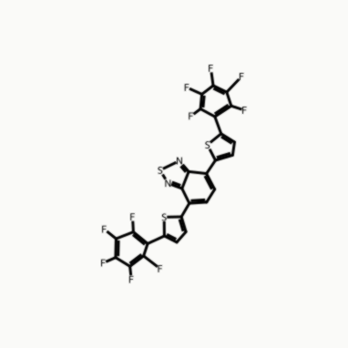 Fc1c(F)c(F)c(-c2ccc(-c3ccc(-c4ccc(-c5c(F)c(F)c(F)c(F)c5F)s4)c4nsnc34)s2)c(F)c1F